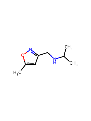 Cc1cc(CNC(C)C)no1